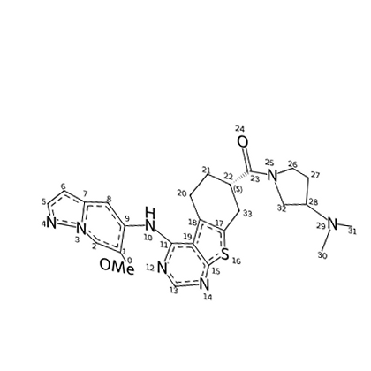 COc1cn2nccc2cc1Nc1ncnc2sc3c(c12)CC[C@H](C(=O)N1CCC(N(C)C)C1)C3